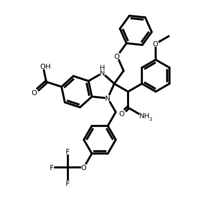 COc1cccc(C(C(N)=O)C2(COc3ccccc3)Nc3cc(C(=O)O)ccc3N2Cc2ccc(OC(F)(F)F)cc2)c1